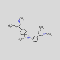 C=N/C=C(\CCC)c1cccc(NCC2(CC)CCC(/C(=C/CC)CN=C)CC2)c1